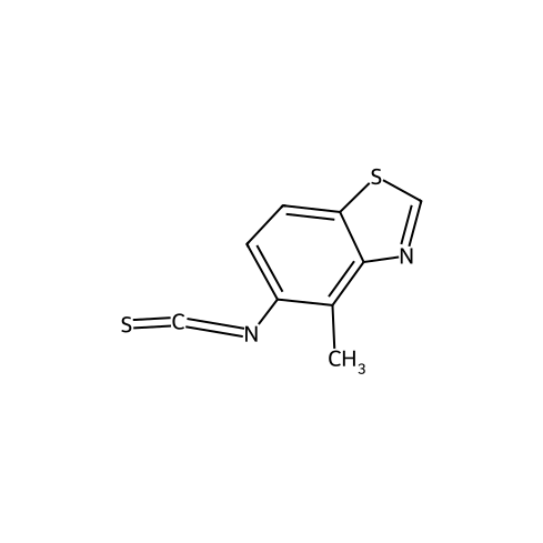 Cc1c(N=C=S)ccc2scnc12